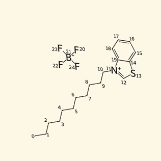 CCCCCCCCCCC[n+]1csc2ccccc21.F[B-](F)(F)F